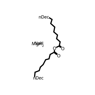 CCCCCCCCCCCCCCCCCC(=O)OC(=O)CCCCCCCCCCCCCCCCC.[MgH2].[NaH]